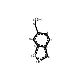 OCc1ccc2cboc2c1